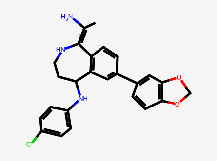 C/C(N)=C1/NCCC(Nc2ccc(Cl)cc2)c2cc(-c3ccc4c(c3)OCO4)ccc21